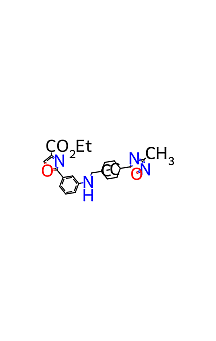 CCOC(=O)c1coc(-c2cccc(NCC34CCC(c5nc(C)no5)(CC3)CC4)c2)n1